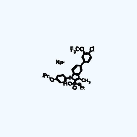 CCOP(=O)(O)c1c(C)c2cc(-c3ccc(Cl)c(OC(F)(F)F)c3)ccc2n1-c1ccc(OC(C)C)cc1.[Na]